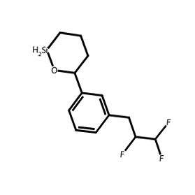 FC(F)C(F)Cc1cccc(C2CCC[SiH2]O2)c1